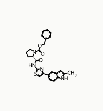 Cc1cc2cc(-c3csc(NC(=O)[C@@H]4CCCN4C(=O)OCc4ccccc4)n3)ccc2[nH]1